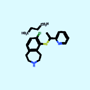 CC(Sc1c(Cl)ccc2c1CCNCC2)c1ccccn1.O=C(O)CCC(=O)O